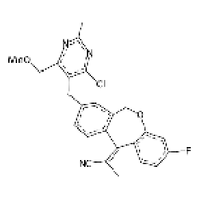 COCc1nc(C)nc(Cl)c1Cc1ccc2c(c1)COc1cc(F)ccc1/C2=C(\C)C#N